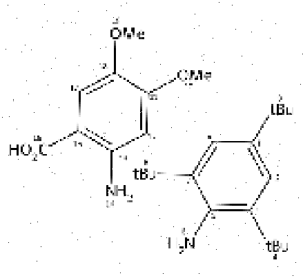 CC(C)(C)c1cc(C(C)(C)C)c(N)c(C(C)(C)C)c1.COc1cc(N)c(C(=O)O)cc1OC